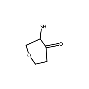 O=C1CCOCC1S